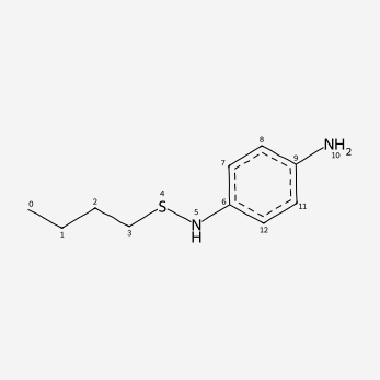 CCCCSNc1ccc(N)cc1